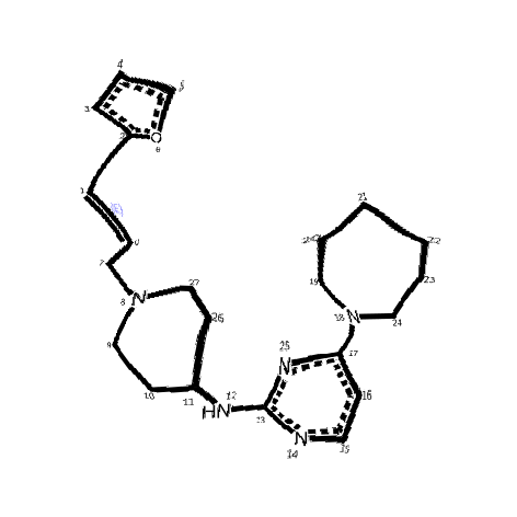 C(=C\c1ccco1)/CN1CCC(Nc2nccc(N3CCCCCC3)n2)CC1